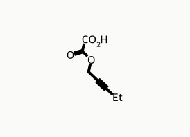 CCC#CCOC(=O)C(=O)O